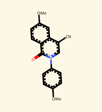 COc1ccc(-n2cc(C#N)c3cc(OC)ccc3c2=O)cc1